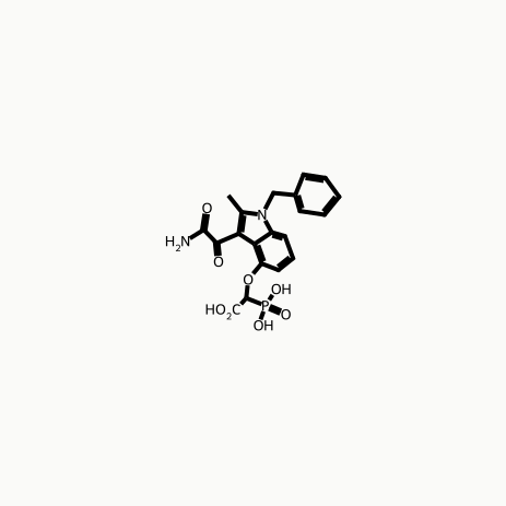 Cc1c(C(=O)C(N)=O)c2c(OC(C(=O)O)P(=O)(O)O)cccc2n1Cc1ccccc1